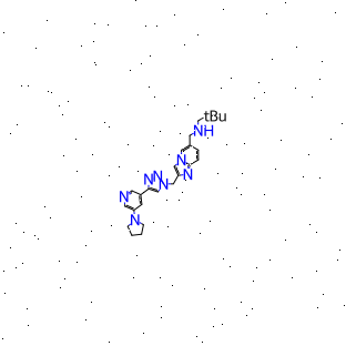 CC(C)(C)CNCc1ccc2nc(Cn3cc(-c4cncc(N5CCCC5)c4)nn3)cn2c1